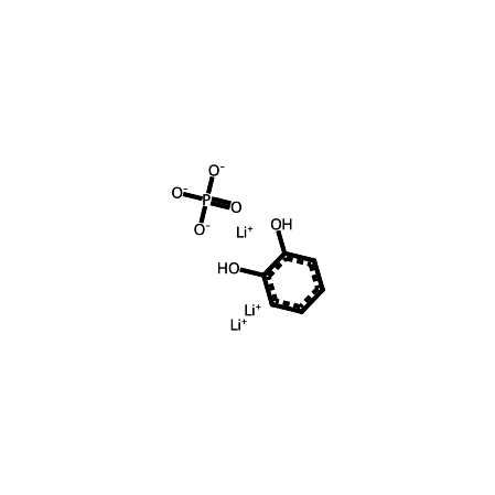 O=P([O-])([O-])[O-].Oc1ccccc1O.[Li+].[Li+].[Li+]